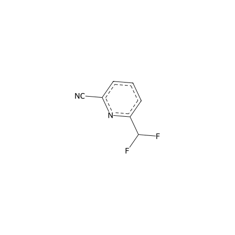 N#Cc1cccc(C(F)F)n1